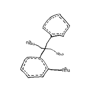 CCCCc1ccccc1C(CCCC)(CCCC)c1ccccc1